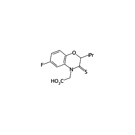 CC(C)C1Oc2ccc(F)cc2N(CC(=O)O)C1=S